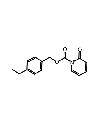 CCc1ccc(COC(=O)n2ccccc2=O)cc1